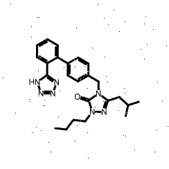 CCCCn1nc(CC(C)C)n(Cc2ccc(-c3ccccc3-c3nnn[nH]3)cc2)c1=O